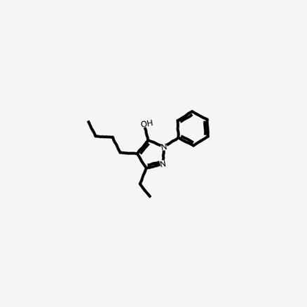 CCCCc1c(CC)nn(-c2ccccc2)c1O